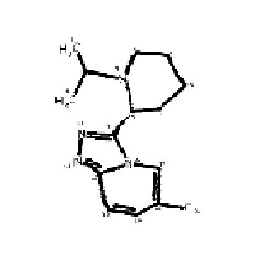 CC(C)N1CCCC[C@H]1c1nnc2ccc(F)cn12